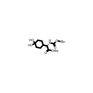 COC(=O)[C@@H](NC(=O)OC(C)(C)C)C1CCC(O)(O)CC1